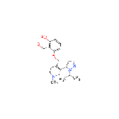 CC(C)n1nccc1C1=C(COc2cccc(O)c2C=O)CCN(C)C1